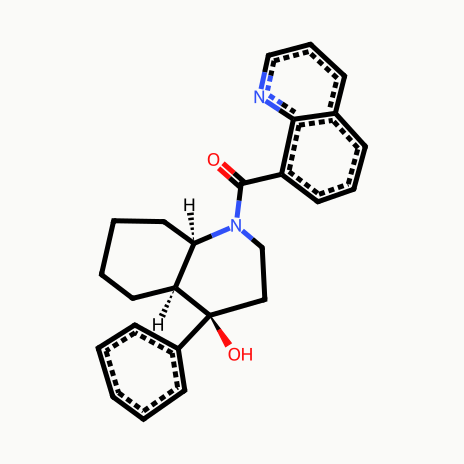 O=C(c1cccc2cccnc12)N1CC[C@](O)(c2ccccc2)[C@H]2CCCC[C@H]21